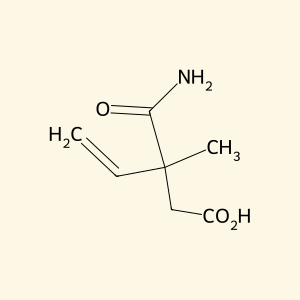 C=CC(C)(CC(=O)O)C(N)=O